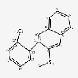 CSc1cc2ccccc2cc1-c1ccccc1Cl